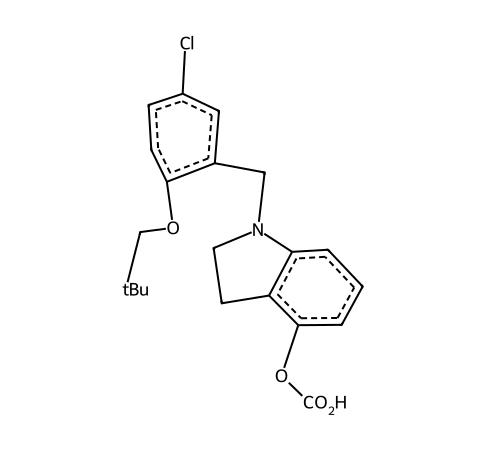 CC(C)(C)COc1ccc(Cl)cc1CN1CCc2c(OC(=O)O)cccc21